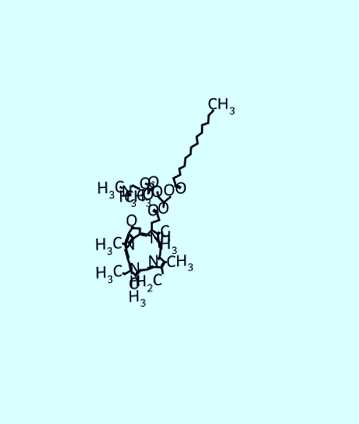 C=CC1=C(C)c2cc3[nH]c(c4c5nc(cc6[nH]c(cc1n2)c(C)c6CC)C(C)=C5C(=O)C4)C(CCC(=O)OC(COC(=O)CCCCCCCCCCCCCCC)COP(=O)(OC)OCCN(C)C)C3C